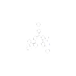 C=C/C(=C\C=C/Cc1ccccc1)c1ccc(N(c2ccc(-c3ccccc3)cc2)c2ccc(-c3cccc(C4(C)C=CC=CC4)c3)c(-c3ccccc3)c2)cc1-c1ccccc1